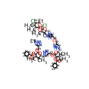 CC[C@H]1O[C@H](O[C@]2(CCl)O[C@H](Cn3cc(COCc4cn(C[C@H]5OC(OCc6cn(C[C@H]7OC(OCc8cn(CC)nn8)[C@@H](OC(=O)c8ccccc8)[C@@H](C)[C@@H]7C)nn6)[C@@H](OC(=O)c6ccccc6)[C@@H](C)[C@@H]5C)nn4)nn3)[C@@H](OC(C)=O)[C@@H]2C)C(C)[C@@H](C)[C@H]1Cl